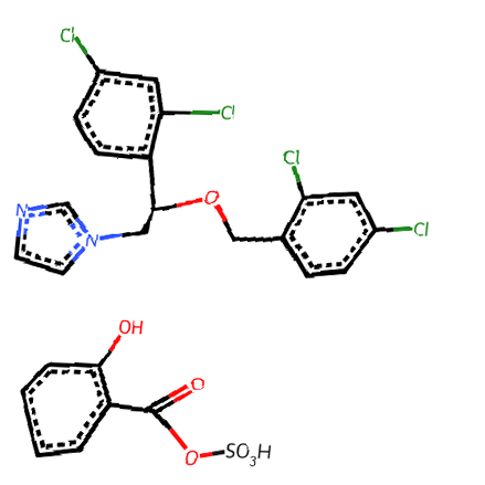 Clc1ccc(CO[C@@H](Cn2ccnc2)c2ccc(Cl)cc2Cl)c(Cl)c1.O=C(OS(=O)(=O)O)c1ccccc1O